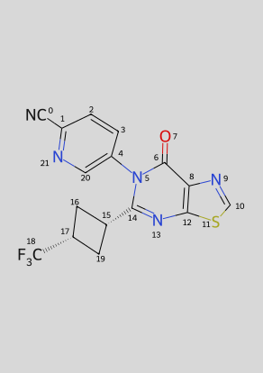 N#Cc1ccc(-n2c(=O)c3ncsc3nc2[C@H]2C[C@@H](C(F)(F)F)C2)cn1